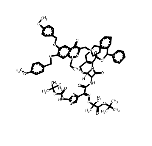 CCn1nc(C[N+]2(CC3=C(C(=O)OC(c4ccccc4)c4ccccc4)N4C(=O)[C@@H](NC(=O)C(=NOC(C)(C)C(=O)OC(C)(C)C)c5csc(NC(=O)OC(C)(C)C)n5)[C@H]4SC3)CCCC2)c(=O)c2cc(OCc3ccc(OC)cc3)c(OCc3ccc(OC)cc3)cc21